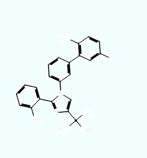 Cc1ccc(Cl)cc1-c1cccc(-n2cc(C(C)(C)O)nc2-c2ccccc2C(F)(F)F)c1